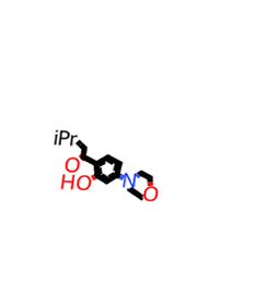 CC(C)CC(=O)c1ccc(N2CCOCC2)cc1O